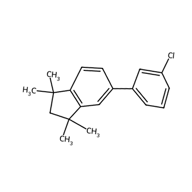 CC1(C)CC(C)(C)c2cc(-c3cccc(Cl)c3)ccc21